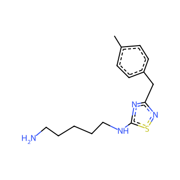 Cc1ccc(Cc2nsc(NCCCCCN)n2)cc1